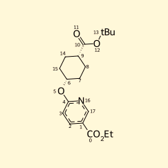 CCOC(=O)c1ccc(O[C@H]2CC[C@@H](C(=O)OC(C)(C)C)CC2)nc1